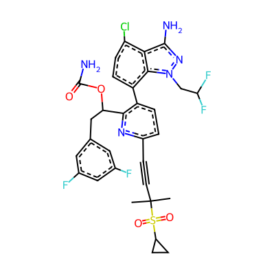 CC(C)(C#Cc1ccc(-c2ccc(Cl)c3c(N)nn(CC(F)F)c23)c(C(Cc2cc(F)cc(F)c2)OC(N)=O)n1)S(=O)(=O)C1CC1